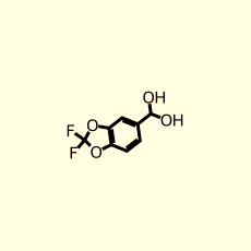 OC(O)c1ccc2c(c1)OC(F)(F)O2